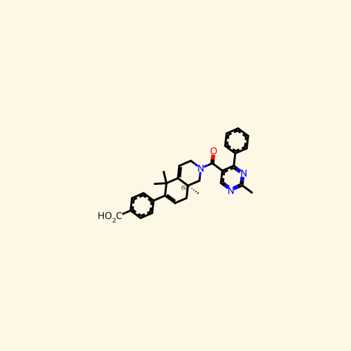 Cc1ncc(C(=O)N2CC=C3C(C)(C)C(c4ccc(C(=O)O)cc4)=CC[C@]3(C)C2)c(-c2ccccc2)n1